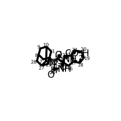 O=C(O)NS(=O)(=O)NC12CC3CC(C1)C(N1CC4(Cc5ccccc5C4)NC1=O)C(C3)C2